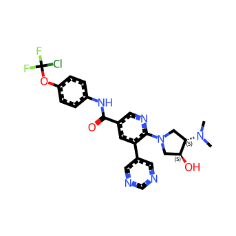 CN(C)[C@H]1CN(c2ncc(C(=O)Nc3ccc(OC(F)(F)Cl)cc3)cc2-c2cncnc2)C[C@@H]1O